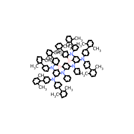 Cc1cccc(C)c1-c1ccc(N(c2ccc(-c3c(C)cccc3C)cc2)c2cc3c4c(c2)N(c2ccccc2)c2cc5c(cc2B4c2ccc(-c4c(C)cccc4C)cc2N3c2cccc(-c3c(C)cccc3C)c2)B2c3ccc(-c4c(C)cccc4C)cc3N(c3cccc(-c4c(C)cccc4C)c3)c3cc(N(c4ccc(-c6c(C)cccc6C)cc4)c4ccc(-c6c(C)cccc6C)cc4)cc(c32)N5c2ccccc2)cc1